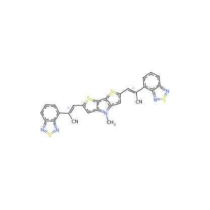 Cn1c2cc(/C=C(\C#N)c3cccc4nsnc34)sc2c2sc(/C=C(\C#N)c3cccc4nsnc34)cc21